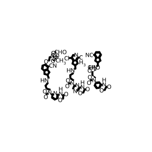 CS(=O)(=O)N(CCOc1ccc2c(c1C#N)CC(CNCCC1CN(c3ccc4c(n3)NC(=O)CO4)C(=O)O1)C2)OC=O.Cc1ncc(Cl)c2c1CC(CNCCC1CN(c3cnc4c(n3)NC(=O)CO4)C(=O)O1)C2.N#Cc1cccc2c1CC(CNC[C@@H](OC=O)[C@H]1CN(c3ccc4c(c3)NC(=O)CO4)C(=O)O1)C2